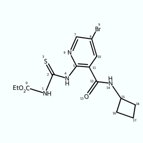 CCOC(=O)NC(=S)Nc1ncc(Br)cc1C(=O)NC1CCC1